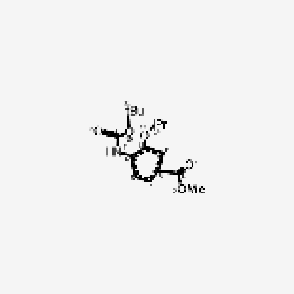 COC(=O)c1ccc(NC(=O)OC(C)(C)C)c(OC(C)C)c1